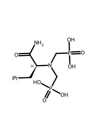 CC(C)C[C@@H](C(N)=O)N(CP(=O)(O)O)CP(=O)(O)O